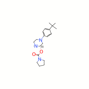 CC(C)(C)c1ccc(N2CC[N][C@@H](OC(=O)N3CCCC3)C2)cc1